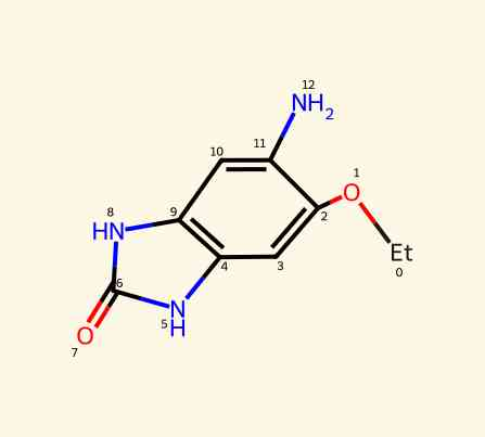 CCOc1cc2[nH]c(=O)[nH]c2cc1N